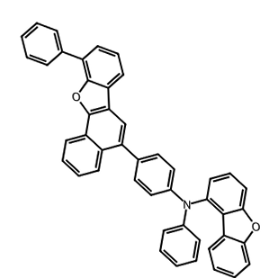 c1ccc(-c2cccc3c2oc2c4ccccc4c(-c4ccc(N(c5ccccc5)c5cccc6oc7ccccc7c56)cc4)cc32)cc1